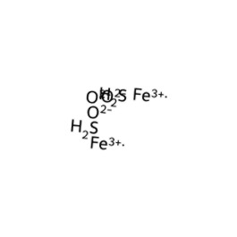 S.S.[Fe+3].[Fe+3].[O-2].[O-2].[O-2]